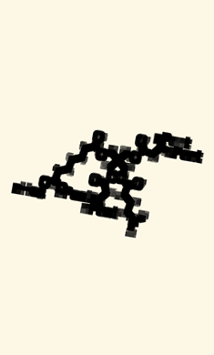 CCCCCCOC(=O)CCCCCC(=O)OCC(COC(=O)CCCN(C)C)(COC(=O)CC(CCCCC)CCCCC)COC(=O)CC(CCCCC)CCCCC